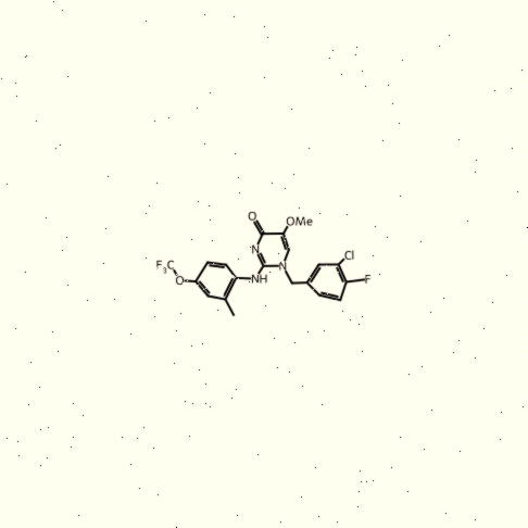 COc1cn(Cc2ccc(F)c(Cl)c2)c(Nc2ccc(OC(F)(F)F)cc2C)nc1=O